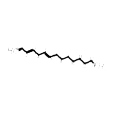 [CH]=CC=CCC=CCCCCCCCC